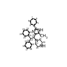 Cc1[nH]c(-c2ccccc2)nc1C(C(c1ccccc1)c1ccccc1)N1CCNCC1